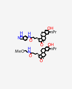 CCCc1cc2c(cc1O)CCC1C2CC[C@]2(C)C(=O)C[C@@H](CCCC(=O)NCCOC)C12.CCCc1cc2c(cc1O)CCC1C2CC[C@]2(C)C(=O)C[C@@H](CCCC(=O)Nc3ccc4cn[nH]c4c3)C12